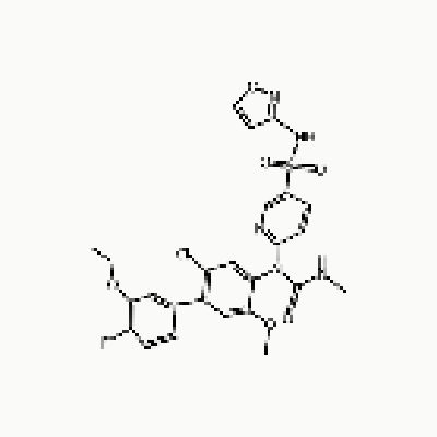 CCOc1cc(-c2cc(OC)c(N(C(=O)NC)c3ccc(S(=O)(=O)Nc4ccon4)cn3)cc2Cl)ccc1F